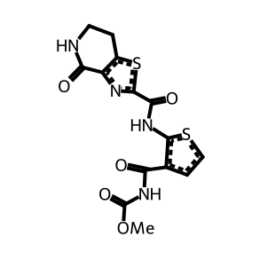 COC(=O)NC(=O)c1ccsc1NC(=O)c1nc2c(s1)CCNC2=O